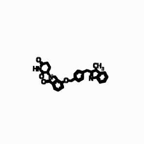 CC1C(Cc2ccc(COc3cccc4c3CN(C3CCC(=O)NC3=O)C4=O)cc2)=Nc2ccccc21